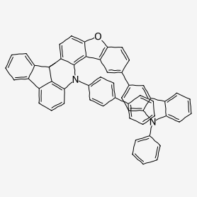 CC12c3ccccc3-c3cccc(c31)N(c1ccc(-c3ccccc3)cc1)c1c2ccc2oc3ccc(-c4ccc5c(c4)c4ccccc4n5-c4ccccc4)cc3c12